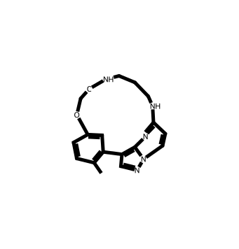 Cc1ccc2cc1-c1cnn3ccc(nc13)NCCCNCCO2